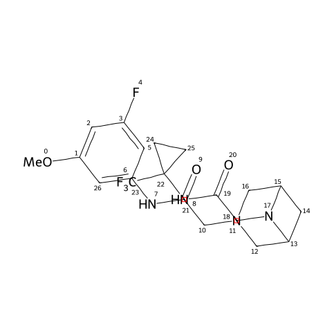 COc1cc(F)cc(NC(=O)CN2CC3CC(C2)N3CC(=O)NC2(C(F)(F)F)CC2)c1